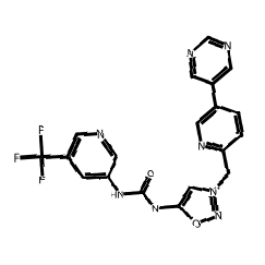 O=C([N-]c1c[n+](Cc2ccc(-c3cncnc3)cn2)no1)Nc1cncc(C(F)(F)F)c1